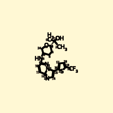 CC(C)(O)[C@@H]1CC[C@@H](Nc2ccc3ncc(-c4ccc(C(F)(F)F)s4)n3n2)CO1